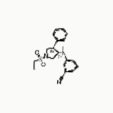 CCS(=O)(=O)N1C[C@@H](Nc2cccc(C#N)c2)[C@H](c2ccccc2)C1